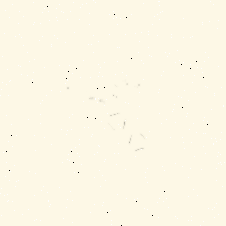 C[C@H](C[C@@H](Cc1ccc(-c2ccccc2)cc1)NC(=O)[C@H]1O[C@H]1C(=O)O)C(=O)O